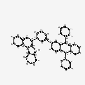 c1ccc(-c2c3ccccc3c(-c3ccccc3)c3cc(-c4cccc(-c5cc6ccccc6c6c5sc5ccccc56)c4)ccc23)cc1